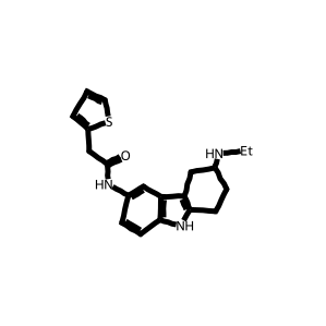 CCNC1CCc2[nH]c3ccc(NC(=O)Cc4cccs4)cc3c2C1